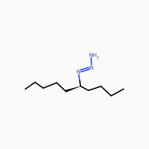 CCCCC[C@H](CCCC)N=NN